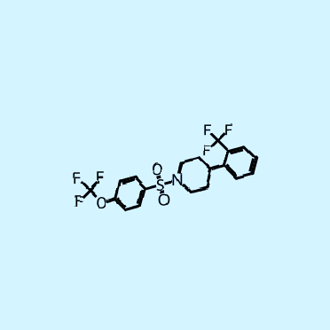 O=S(=O)(c1ccc(OC(F)(F)F)cc1)N1CCC(c2ccccc2C(F)(F)F)CC1